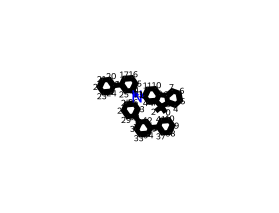 CC1(C)c2ccccc2-c2ccc(N(c3cccc(-c4ccccc4)c3)c3cccc(-c4cccc(-c5ccccc5)c4)c3)cc21